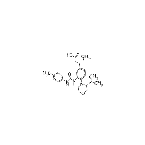 CC[C@@H](CC(=O)O)c1ccc(N2CCOC[C@@H]2C(C)C)c(NC(=O)Nc2ccc(C)cc2)c1